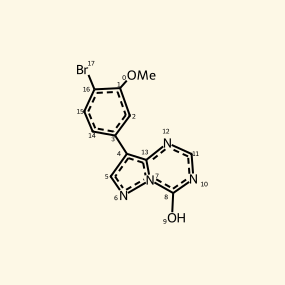 COc1cc(-c2cnn3c(O)ncnc23)ccc1Br